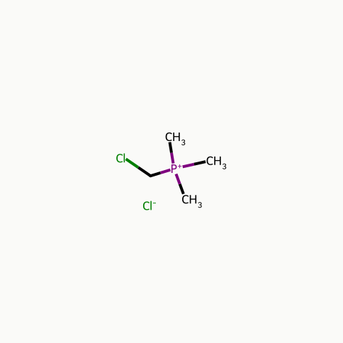 C[P+](C)(C)CCl.[Cl-]